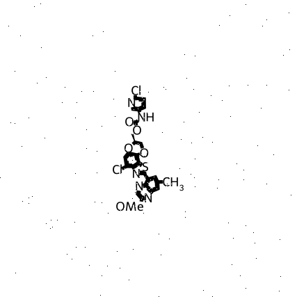 COc1cnc2c(-c3nc4c(Cl)cc5c(c4s3)OC[C@H](COC(=O)Nc3ccc(Cl)nc3)O5)cc(C)cc2n1